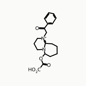 O=C(O)C(=O)OC1CCCCC2=[N+](CC(=O)c3ccccc3)CCCN21